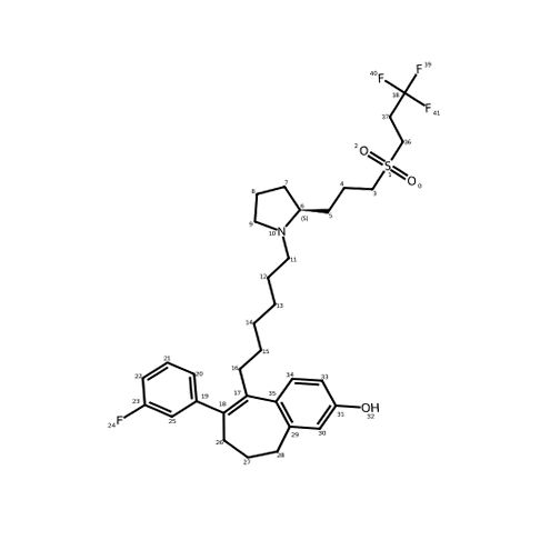 O=S(=O)(CCC[C@@H]1CCCN1CCCCCCC1=C(c2cccc(F)c2)CCCc2cc(O)ccc21)CCC(F)(F)F